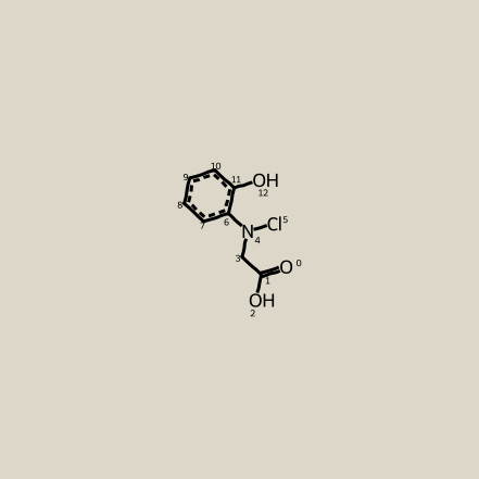 O=C(O)CN(Cl)c1ccccc1O